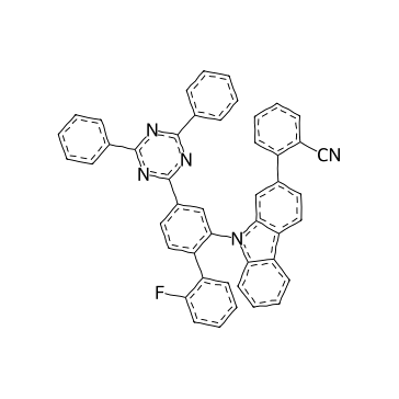 N#Cc1ccccc1-c1ccc2c3ccccc3n(-c3cc(-c4nc(-c5ccccc5)nc(-c5ccccc5)n4)ccc3-c3ccccc3F)c2c1